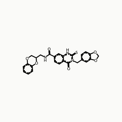 O=C(NCC1COc2ccccc2O1)c1ccc2c(=O)n(Cc3ccc4c(c3)OCO4)c(=S)[nH]c2c1